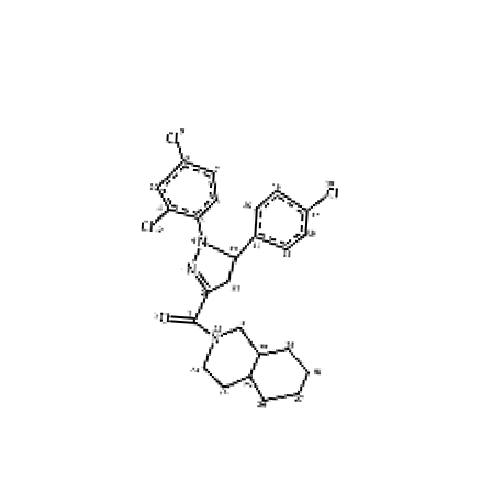 O=C(C1=NN(c2ccc(Cl)cc2Cl)C(c2ccc(Cl)cc2)C1)N1CCC2CCCCC2C1